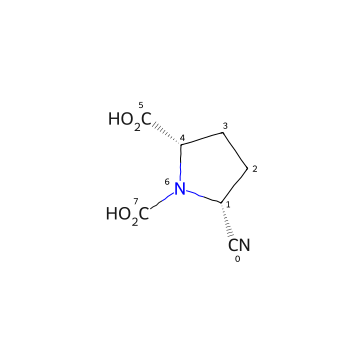 N#C[C@H]1CC[C@@H](C(=O)O)N1C(=O)O